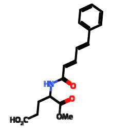 COC(=O)C(CCC(=O)O)NC(=O)/C=C/C=C/c1ccccc1